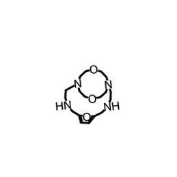 c1cc2oc1CNCCN1CCOCCN(CCNC2)CCOCC1